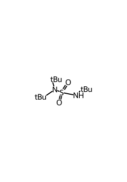 CC(C)(C)NS(=O)(=O)N(C(C)(C)C)C(C)(C)C